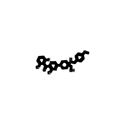 COc1ccc(CNC2(CO)CCN(c3cnc(C(=O)c4c(F)cccc4Cl)c(Cl)n3)CC2)cc1